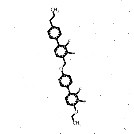 CCCc1ccc(-c2ccc(COc3ccc(-c4ccc(OCC)c(F)c4F)cc3)c(F)c2F)cc1